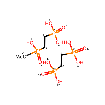 COP(=O)(O)CCP(=O)(O)O.O=P(O)(O)CCP(=O)(O)O